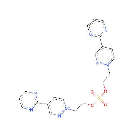 O=S(=O)(OCC[n+]1ccc(-c2ncccn2)cn1)OCC[n+]1ccc(-c2ncccn2)cn1